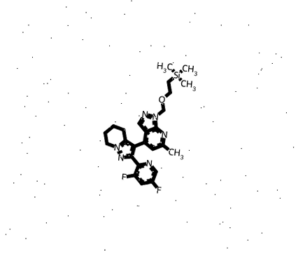 Cc1cc(-c2c(-c3ncc(F)cc3F)nn3c2CCCC3)c2cnn(COCC[Si](C)(C)C)c2n1